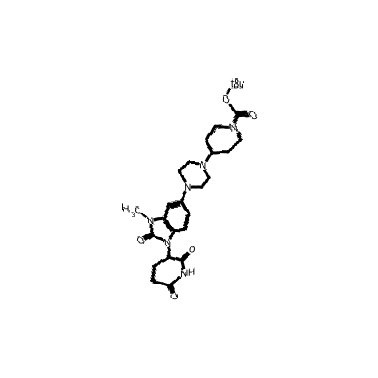 Cn1c(=O)n(C2CCC(=O)NC2=O)c2ccc(N3CCN(C4CCN(C(=O)OC(C)(C)C)CC4)CC3)cc21